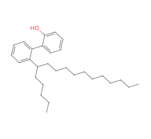 CCCCCCCCCCCC(CCCCC)c1ccccc1-c1ccccc1O